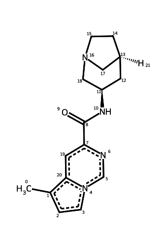 Cc1ccn2cnc(C(=O)N[C@@H]3C[C@@H]4CCN(C4)C3)cc12